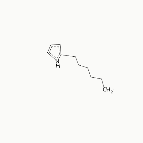 [CH2]CCCCCc1ccc[nH]1